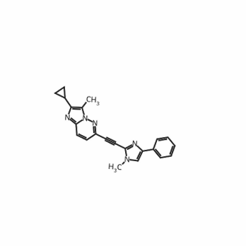 Cc1c(C2CC2)nc2ccc(C#Cc3nc(-c4ccccc4)cn3C)nn12